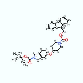 CC(C)(C)OC(=O)N1Cc2ccc(OC3CCN(C(=O)OCC4c5ccccc5-c5ccccc54)CC3)cc2C1